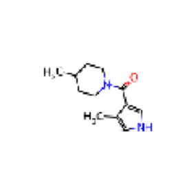 Cc1[c][nH]cc1C(=O)N1CCC(C)CC1